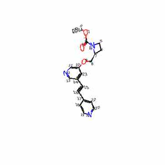 CC(C)(C)OC(=O)N1CC[C@H]1COc1cncc(C=Cc2ccncc2)c1